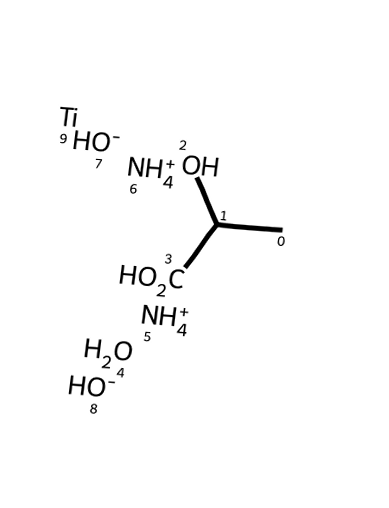 CC(O)C(=O)O.O.[NH4+].[NH4+].[OH-].[OH-].[Ti]